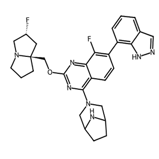 Fc1c(-c2cccc3cn[nH]c23)ccc2c(N3CC4CCC(C3)N4)nc(OC[C@@]34CCCN3C[C@H](F)C4)nc12